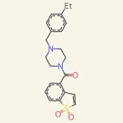 CCc1ccc(CN2CCN(C(=O)c3cccc4c3C=CS4(=O)=O)CC2)cc1